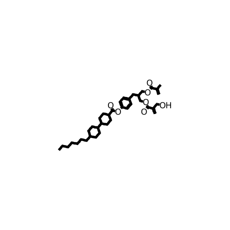 C=C(C)C(=O)OCC(COC(=O)C(=C)CO)Cc1ccc(OC(=O)C2CCC(C3CCC(CCCCCCC)CC3)CC2)cc1